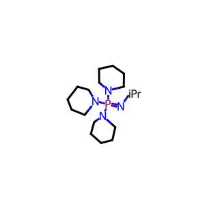 CC(C)N=P(N1CCCCC1)(N1CCCCC1)N1CCCCC1